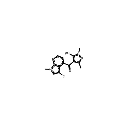 Cc1nn(C)c(O)c1C(=O)c1ccnc2c1c(Cl)cn2C